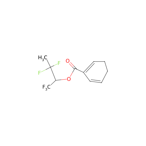 CC(F)(F)C(OC(=O)C1=CCCC=C1)C(F)(F)F